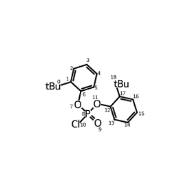 CC(C)(C)c1ccccc1OP(=O)(Cl)Oc1ccccc1C(C)(C)C